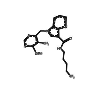 COc1ncnc(Cn2cc(C(=O)NCCCCC(F)(F)F)c3ncccc32)c1C